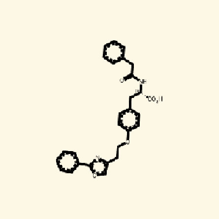 O=C(Cc1ccccc1)N[C@@H](Cc1ccc(OCCc2coc(-c3ccccc3)n2)cc1)C(=O)O